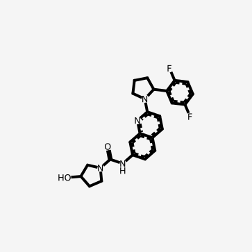 O=C(Nc1ccc2ccc(N3CCCC3c3cc(F)ccc3F)nc2c1)N1CCC(O)C1